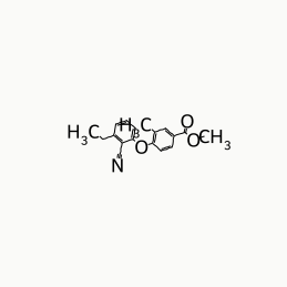 CCc1cccc(Oc2ccc(C(=O)OC)cc2C)c1C#N